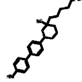 CCCCc1ccc(-c2ccc(C3CCCC(C#N)(CCCCCO)C3)cc2)cc1